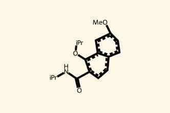 COc1ccc2ccc(C(=O)NC(C)C)c(OC(C)C)c2c1